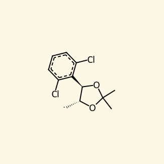 [CH2][C@H]1OC(C)(C)O[C@@H]1c1c(Cl)cccc1Cl